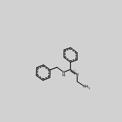 NC/N=C(\NCc1ccccc1)c1ccccc1